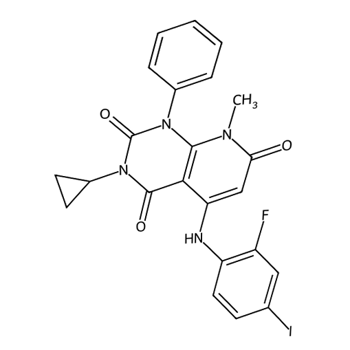 Cn1c(=O)cc(Nc2ccc(I)cc2F)c2c(=O)n(C3CC3)c(=O)n(-c3ccccc3)c21